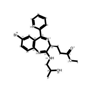 COC(=O)CC[C@@H]1N=C(c2ccccn2)c2cc(Br)ccc2N=C1NCC(C)O